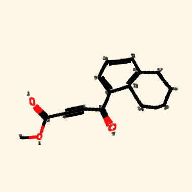 COC(=O)C#CC(=O)c1cccc2c1CCCC2